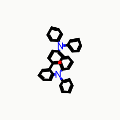 c1ccc(N(c2ccccc2)c2ccc(-c3ccccc3N(c3ccccc3)c3ccccc3)cc2)cc1